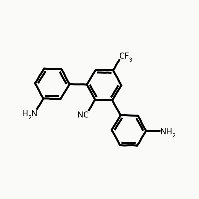 N#Cc1c(-c2cccc(N)c2)cc(C(F)(F)F)cc1-c1cccc(N)c1